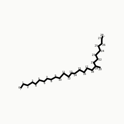 [CH2]CCCCCCCCCCCCCCCCCCC(C)CCCCCCC[CH2]